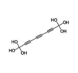 OC(O)(O)C#CC#CC#CC(O)(O)O